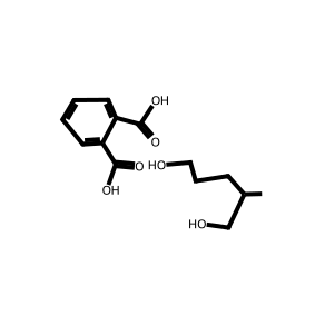 CC(CO)CCCO.O=C(O)c1ccccc1C(=O)O